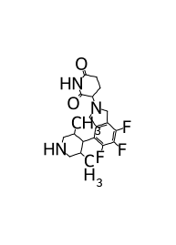 CC1CNCC(C)C1c1c(F)c(F)c(F)c2c1CN(C1CCC(=O)NC1=O)C2